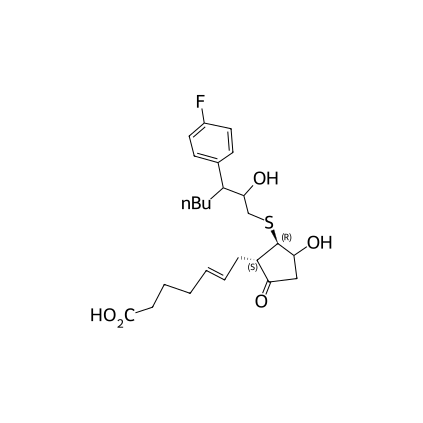 CCCCC(c1ccc(F)cc1)C(O)CS[C@H]1C(O)CC(=O)[C@@H]1CC=CCCCC(=O)O